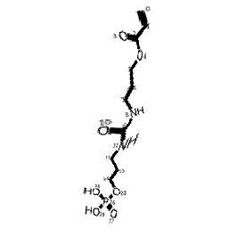 C=CC(=O)OCCCNC(=O)NCCCOP(=O)(O)O